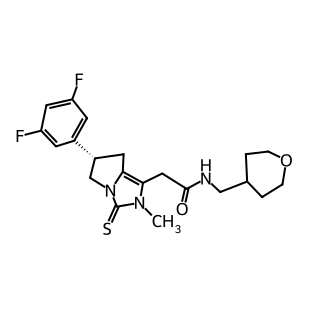 Cn1c(CC(=O)NCC2CCOCC2)c2n(c1=S)C[C@H](c1cc(F)cc(F)c1)C2